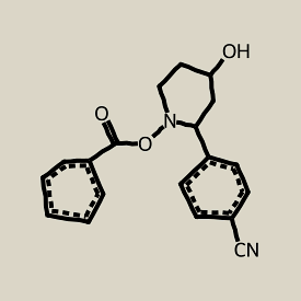 N#Cc1ccc(C2CC(O)CCN2OC(=O)c2ccccc2)cc1